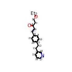 CCOCCC(=O)/C=C/c1ccc(CCc2cccnc2)cc1